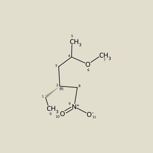 CC[C@H](CC(C)OC)C[N+](=O)[O-]